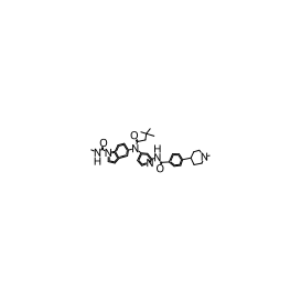 CNC(=O)n1ccc2cc(N(C(=O)CC(C)(C)C)c3ccnc(NC(=O)c4ccc(C5CCN(C)CC5)cc4)c3)ccc21